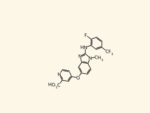 Cn1c(Nc2cc(C(F)(F)F)ccc2F)nc2cc(Oc3ccnc(C(=O)O)c3)ccc21